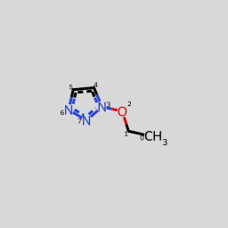 CCOn1ccnn1